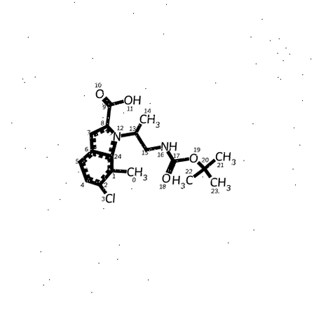 Cc1c(Cl)ccc2cc(C(=O)O)n(C(C)CNC(=O)OC(C)(C)C)c12